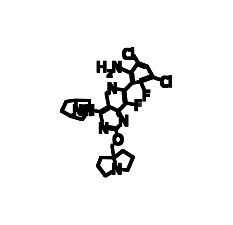 Nc1c(Cl)cc(Cl)c(F)c1-c1ncc2c(N3CC4CCC(C3)N4)nc(OCC34CCCN3CCC4)nc2c1F